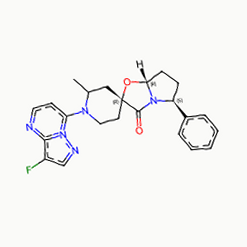 CC1C[C@@]2(CCN1c1ccnc3c(F)cnn13)O[C@@H]1CC[C@@H](c3ccccc3)N1C2=O